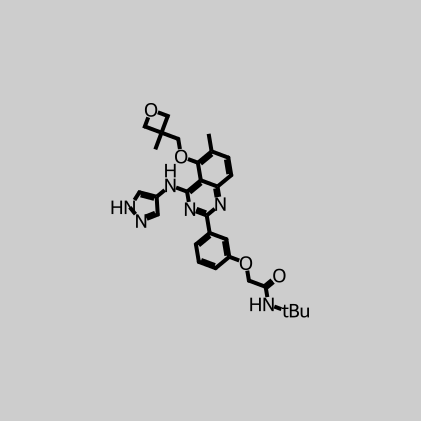 Cc1ccc2nc(-c3cccc(OCC(=O)NC(C)(C)C)c3)nc(Nc3cn[nH]c3)c2c1OCC1(C)COC1